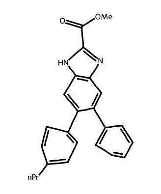 CCCc1ccc(-c2cc3[nH]c(C(=O)OC)nc3cc2-c2ccccc2)cc1